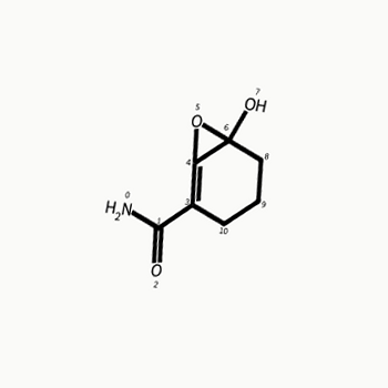 NC(=O)C1=C2OC2(O)CCC1